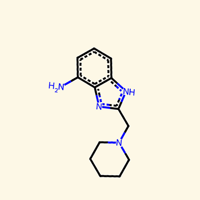 Nc1cccc2[nH]c(CN3CCCCC3)nc12